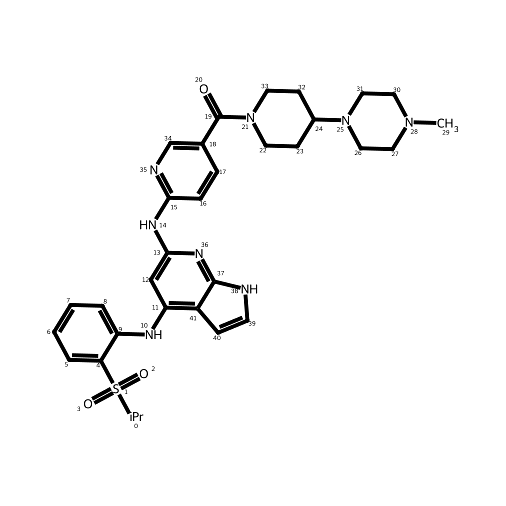 CC(C)S(=O)(=O)c1ccccc1Nc1cc(Nc2ccc(C(=O)N3CCC(N4CCN(C)CC4)CC3)cn2)nc2[nH]ccc12